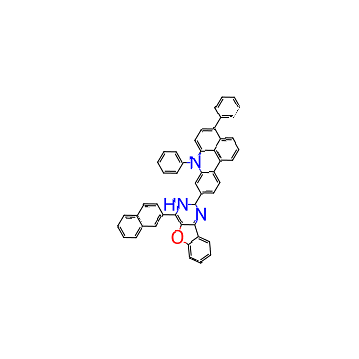 c1ccc(-c2ccc3c4c(cccc24)-c2ccc(C4N=c5c(oc6ccccc56)=C(c5ccc6ccccc6c5)N4)cc2N3c2ccccc2)cc1